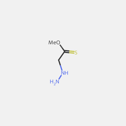 COC(=S)CNN